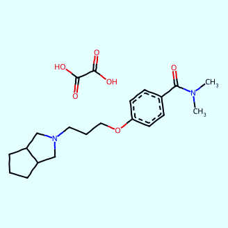 CN(C)C(=O)c1ccc(OCCCN2CC3CCCC3C2)cc1.O=C(O)C(=O)O